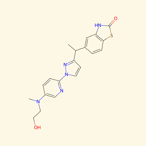 CC(c1ccc2sc(=O)[nH]c2c1)c1ccn(-c2ccc(N(C)CCO)cn2)n1